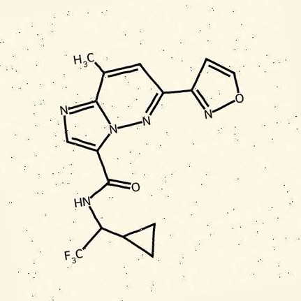 Cc1cc(-c2ccon2)nn2c(C(=O)NC(C3CC3)C(F)(F)F)cnc12